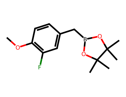 COc1ccc(CB2OC(C)(C)C(C)(C)O2)cc1F